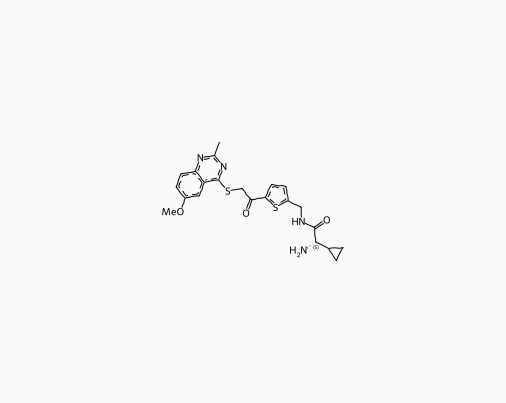 COc1ccc2nc(C)nc(SCC(=O)c3ccc(CNC(=O)[C@@H](N)C4CC4)s3)c2c1